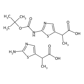 CC(C(=O)O)c1cnc(N)s1.CC(C(=O)O)c1cnc(NC(=O)OC(C)(C)C)s1